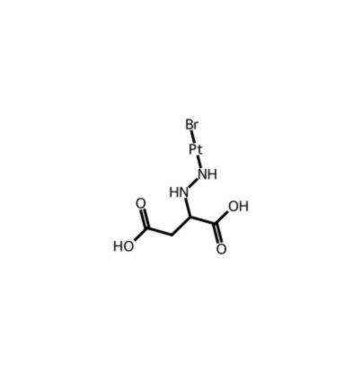 O=C(O)CC(N[NH][Pt][Br])C(=O)O